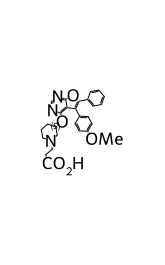 COc1ccc(-c2c(-c3ccccc3)oc3ncnc(O[C@H]4CCCN(CCC(=O)O)C4)c23)cc1